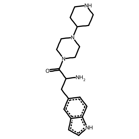 NC(Cc1ccc2[nH]ccc2c1)C(=O)N1CCN(C2CCNCC2)CC1